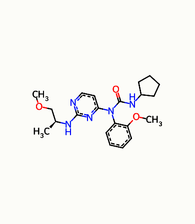 COC[C@H](C)Nc1nccc(N(C(=O)NC2CCCC2)c2ccccc2OC)n1